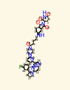 O=C1CCC(N2C(=O)c3ccc(NCCCCC(=O)N4CCN(c5cccc(-c6cnc7ccc(N8CCCC8c8cccc(F)c8)nn67)n5)CC4)cc3C2=O)C(=O)N1